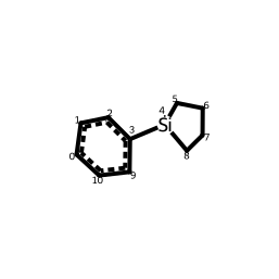 c1ccc([Si]2CCCC2)cc1